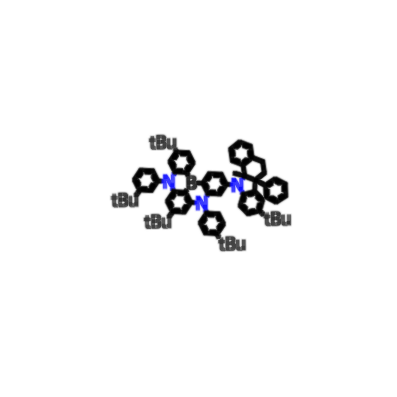 CC(C)(C)c1ccc(N2c3cc(N4c5ccc(C(C)(C)C)cc5C5(c6ccccc6)CCc6ccccc6C45C)ccc3B3c4ccc(C(C)(C)C)cc4N(c4cccc(C(C)(C)C)c4)c4cc(C(C)(C)C)cc2c43)cc1